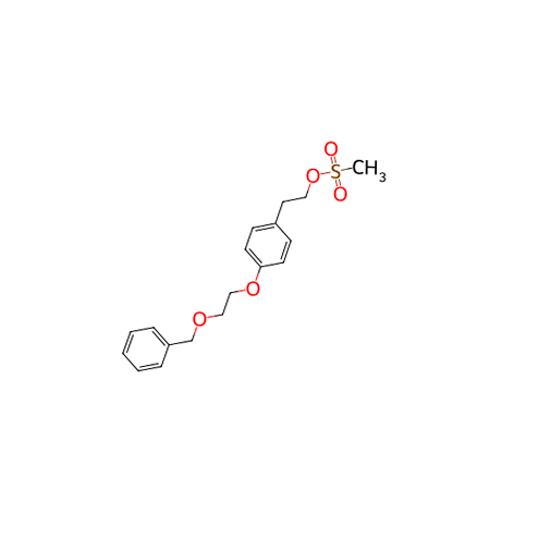 CS(=O)(=O)OCCc1ccc(OCCOCc2ccccc2)cc1